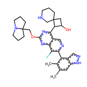 Cc1cc2[nH]ncc2c(-c2ncc3c(C4C(O)CC45CCCNC5)nc(OCC45CCCN4CCC5)nc3c2F)c1C